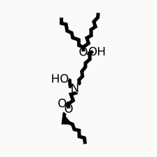 CCCCCCCCC(CCCCCCCC)OC(O)CCCCCCCN(CCO)CCCC(=O)OCC1CC1CCCCCC